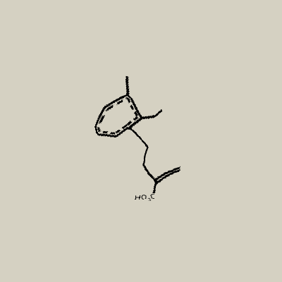 C=C(CCc1cccc(C)c1C)C(=O)O